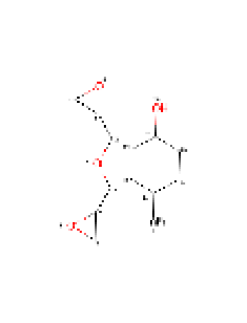 C(OCC1CO1)C1CO1.CCCC1CCC(O)CC1